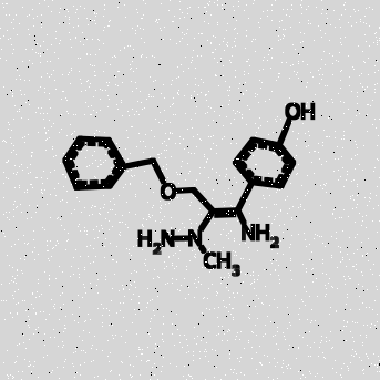 CN(N)/C(COCc1ccccc1)=C(\N)c1ccc(O)cc1